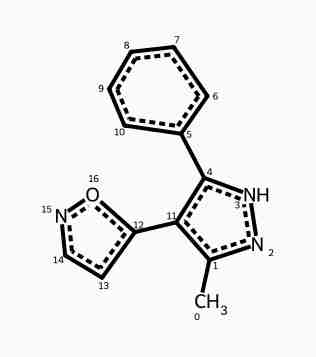 Cc1n[nH]c(-c2ccccc2)c1-c1ccno1